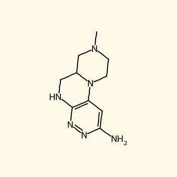 CN1CCN2c3cc(N)nnc3NCC2C1